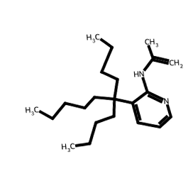 C=C(C)Nc1ncccc1C(CCCC)(CCCC)CCCCC